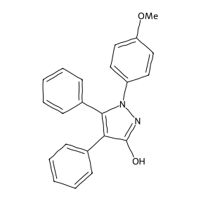 COc1ccc(-n2nc(O)c(-c3ccccc3)c2-c2ccccc2)cc1